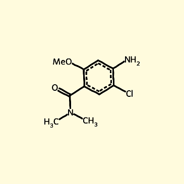 COc1cc(N)c(Cl)cc1C(=O)N(C)C